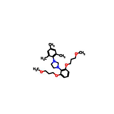 COCCCOc1cccc(OCCCOC)c1N1CCN(c2c(C)cc(C)cc2C)C1